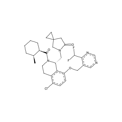 C[C@H]1CCCC[C@H]1C(=O)N1CCc2c(Cl)ccc(OCc3cncnc3C(F)F)c2[C@H]1CN1CC2(CC2)CC1=O